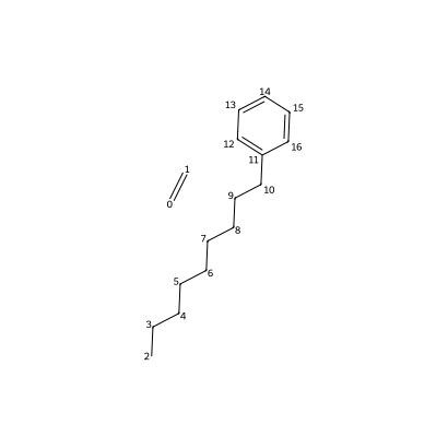 C=C.CCCCCCCCCc1ccccc1